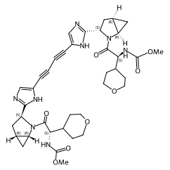 COC(=O)N[C@H](C(=O)N1[C@@H]2C[C@@H]2C[C@H]1c1ncc(C#CC#Cc2cnc([C@@H]3C[C@H]4C[C@H]4N3C(=O)[C@@H](NC(=O)OC)C3CCOCC3)[nH]2)[nH]1)C1CCOCC1